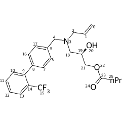 C=CCN(Cc1ccc(-c2ccccc2C(F)(F)F)cc1)C[C@@H](O)COC(=O)CCC